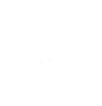 CC(Cc1cn[nH]c1N)OC=O